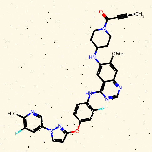 CC#CC(=O)N1CCC(Nc2cc3c(Nc4ccc(Oc5ccn(-c6cnc(C)c(F)c6)n5)cc4F)ncnc3cc2OC)CC1